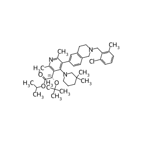 Cc1cccc(Cl)c1CN1CCc2cc(-c3c(C)nc(C)c([C@H](OC(C)(C)C)C(=O)OC(C)C)c3N3CCCC(C)(C)C3)ccc2C1